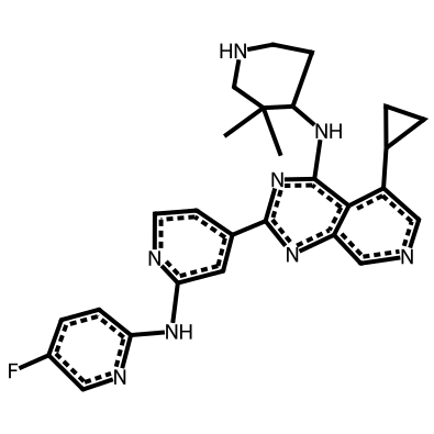 CC1(C)CNCCC1Nc1nc(-c2ccnc(Nc3ccc(F)cn3)c2)nc2cncc(C3CC3)c12